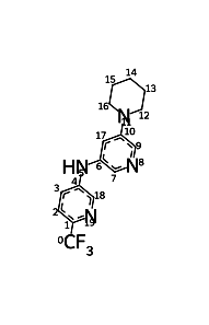 FC(F)(F)c1ccc(Nc2cncc(N3CCCCC3)c2)cn1